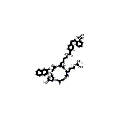 N=C(N)NCC/C=C1\NC(=O)/C(=C\CCCNC(=O)c2ccc(/C=C\c3ccccc3S(=O)(=O)O)cc2)NC(=O)[C@@H](Cc2ccc3ccccc3c2)NC(=O)/C(=C\C(=O)O)NC(=O)CNC1=O